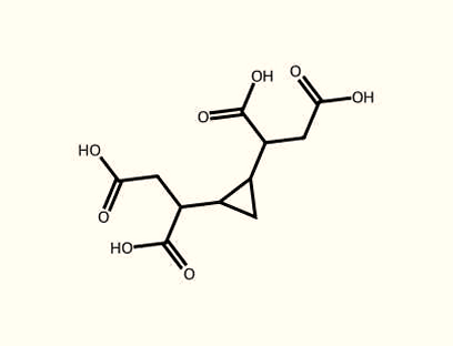 O=C(O)CC(C(=O)O)C1CC1C(CC(=O)O)C(=O)O